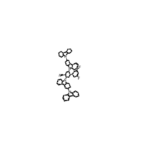 N#Cc1cc(-n2c3ccccc3c3cc(-n4c5ccccc5c5ccccc54)ccc32)c(-c2cc(F)cc(F)c2)cc1-n1c2ccccc2c2cc(-n3c4ccccc4c4ccccc43)ccc21